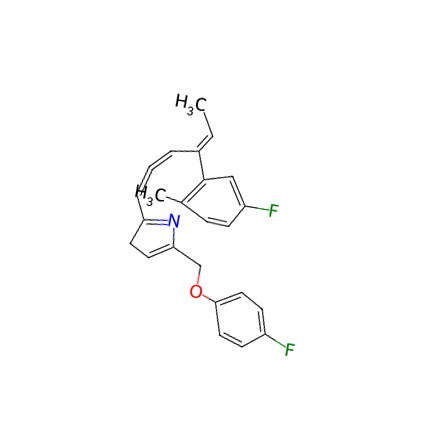 C/C=C(\C=C=CC1=NC(COc2ccc(F)cc2)=CC1)c1cc(F)ccc1C